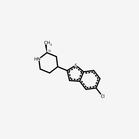 C[C@H]1CC(c2cc3cc(Cl)ccc3s2)CCN1